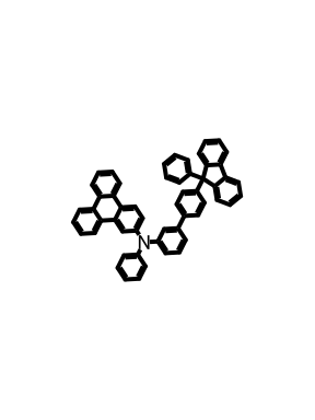 c1ccc(N(c2cccc(-c3ccc(C4(c5ccccc5)c5ccccc5-c5ccccc54)cc3)c2)c2ccc3c4ccccc4c4ccccc4c3c2)cc1